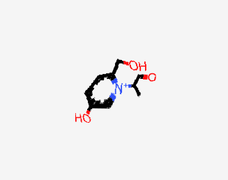 CC(C=O)[n+]1cc(O)ccc1CO